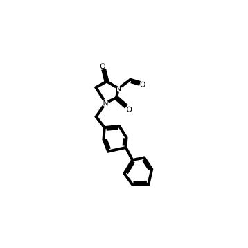 O=CN1C(=O)CN(Cc2ccc(-c3ccccc3)cc2)C1=O